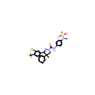 CN(c1ccc(NC(=O)N2CC(C)(c3ccccc3)C(c3ccc(C(F)(F)F)c(Cl)c3)=N2)cc1)S(C)(=O)=O